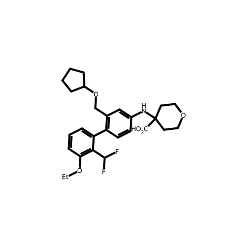 CCOc1cccc(-c2ccc(NC3(C(=O)O)CCOCC3)cc2COC2CCCC2)c1C(F)F